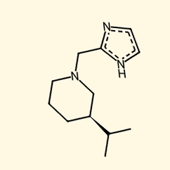 CC(C)[C@H]1CCCN(Cc2ncc[nH]2)C1